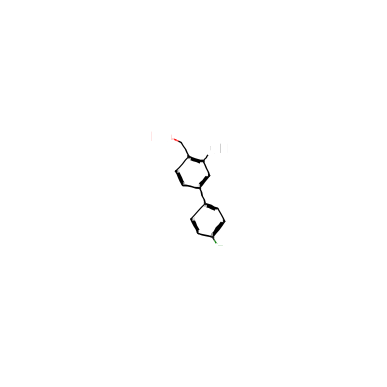 Cc1cc(-c2ccc(F)cc2)ccc1CO